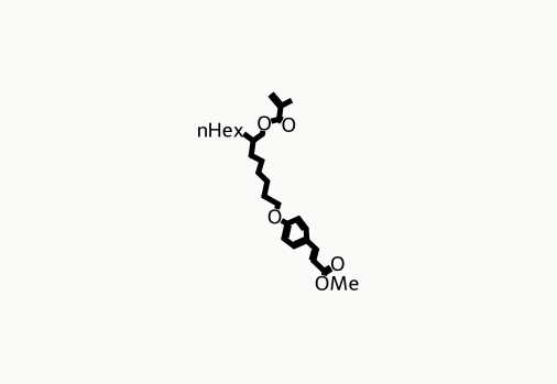 C=C(C)C(=O)OCC(CCCCCC)CCCCCCOc1ccc(/C=C/C(=O)OC)cc1